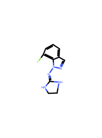 Fc1cccc2cnn(N=C3NCCN3)c12